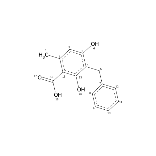 Cc1cc(O)c(Cc2ccccc2)c(O)c1C(=O)O